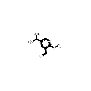 C=Cc1cc(C(C)C)cnc1NC